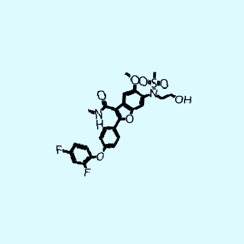 CNC(=O)c1c(-c2ccc(Oc3ccc(F)cc3F)cc2)oc2cc(N(CCO)S(C)(=O)=O)c(OC)cc12